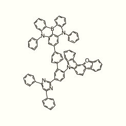 c1ccc(-c2cc(-c3ccccc3)nc(-c3ccc(-n4c5ccccc5c5c6oc7ccccc7c6ccc54)c(-c4ccc(-c5cc6c7c(c5)N(c5ccccc5)c5ccccc5B7c5ccccc5N6c5ccccc5)cc4)c3)n2)cc1